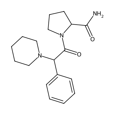 NC(=O)C1CCCN1C(=O)C(c1ccccc1)N1CCCCC1